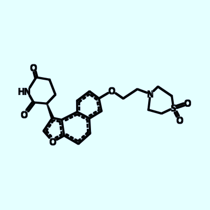 O=C1CC[C@@H](c2coc3ccc4cc(OCCN5CCS(=O)(=O)CC5)ccc4c23)C(=O)N1